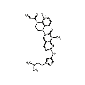 C=CC(=O)N1CCN(c2cc3cnc(Nc4cnn(CCN(C)C)c4)nc3n(C)c2=O)c2cccc(C)c21